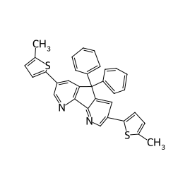 Cc1ccc(-c2cnc3c(c2)C(c2ccccc2)(c2ccccc2)c2cc(-c4ccc(C)s4)cnc2-3)s1